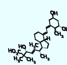 C=C1/C(=C\C=C2/CCC[C@]3(C)[C@@H]([C@H](C)/C=C/[C@@H](O)C(C)(C)C(=O)O)CC[C@@H]23)C[C@@H](O)C[C@@H]1O